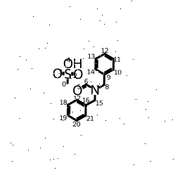 CS(=O)(=O)O.O=CN(Cc1ccccc1)Cc1ccccc1